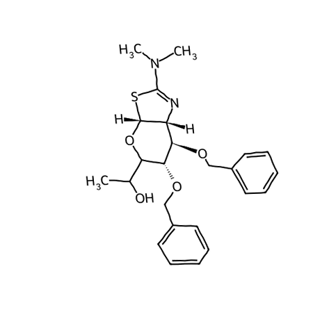 CC(O)C1O[C@@H]2SC(N(C)C)=N[C@@H]2[C@@H](OCc2ccccc2)[C@@H]1OCc1ccccc1